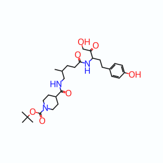 CC(CCC(=O)NC(CCc1ccc(O)cc1)C(=O)CO)CNC(=O)C1CCN(C(=O)OC(C)(C)C)CC1